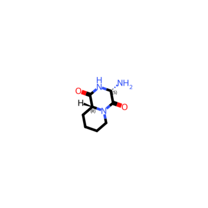 N[C@H]1NC(=O)[C@H]2CCCCN2C1=O